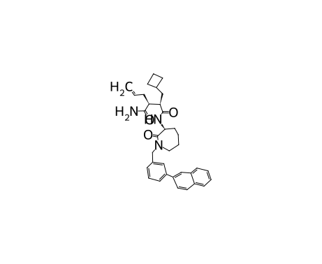 C=CC[C@H](C(N)=O)[C@@H](CC1CCC1)C(=O)N[C@H]1CCCCN(Cc2cccc(-c3ccc4ccccc4c3)c2)C1=O